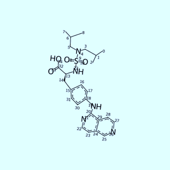 CC(C)CN(CC(C)C)S(=O)(=O)N[C@@H](Cc1ccc(Nc2nccc3cnccc23)cc1)C(=O)O